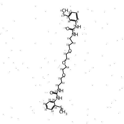 CSc1cccc(NC(=O)NCCCOCCOCCOCCCNC(=O)Nc2ccccc2SC)c1